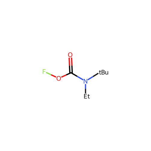 CCN(C(=O)OF)C(C)(C)C